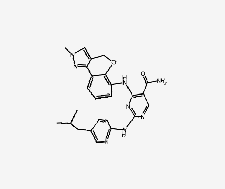 CC(C)Cc1ccc(Nc2ncc(C(N)=O)c(Nc3cccc4c3OCc3cn(C)nc3-4)n2)nc1